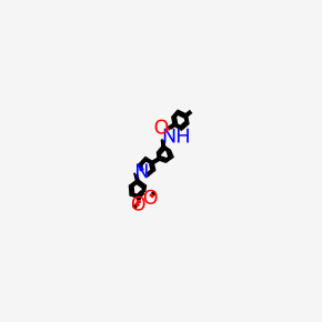 COc1ccc(CN2CC=C(c3cccc(CNC(=O)c4ccc(C)cc4)c3)CC2)cc1OC